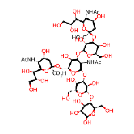 CC(=O)N[C@H]1[C@H](O[C@H]2[C@@H](O)[C@@H](CO)O[C@@H](O[C@H]3[C@H](O)[C@@H](O)C(O)O[C@@H]3CO)[C@@H]2O)O[C@H](CO[C@]2(C(=O)O)C[C@H](O)[C@@H](NC(C)=O)[C@H]([C@H](O)[C@H](O)CO)O2)[C@@H](O)[C@@H]1O[C@@H]1O[C@H](CO)[C@H](O)[C@H](O[C@]2(C(=O)O)C[C@H](O)[C@@H](NC(C)=O)[C@H]([C@H](O)[C@H](O)CO)O2)[C@H]1O